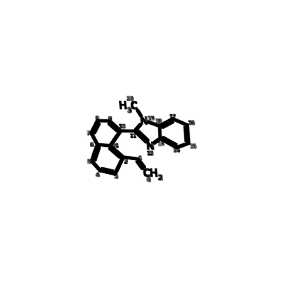 C=Cc1cccc2cccc(-c3nc4ccccc4n3C)c12